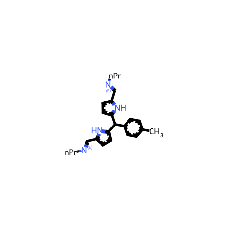 CCC/N=C/c1ccc(C(c2ccc(C)cc2)c2ccc(/C=N/CCC)[nH]2)[nH]1